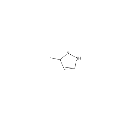 CC1C=CN[N]1